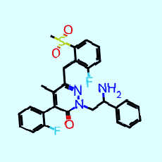 Cc1c(Cc2c(F)cccc2S(C)(=O)=O)nn(CC(N)c2ccccc2)c(=O)c1-c1ccccc1F